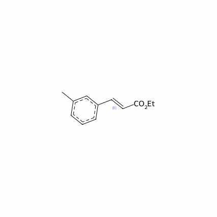 CCOC(=O)/C=C/c1cccc(C)c1